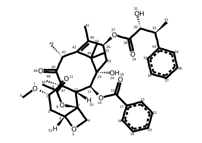 CO[C@H]1C[C@H]2OC[C@@]2(OC(C)=O)[C@H]2[C@H](OC(=O)c3ccccc3)[C@]3(O)C[C@H](OC(=O)[C@H](O)[C@@H](C)c4ccccc4)C(C)=C([C@@H](C)C(=O)[C@]12C)C3(C)C